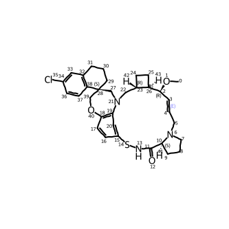 CO[C@H]1/C=C/CN2CCC[C@H]2C(=O)NSc2ccc3c(c2)N(C[C@@H]2CC[C@H]21)C[C@@]1(CCCc2cc(Cl)ccc21)CO3